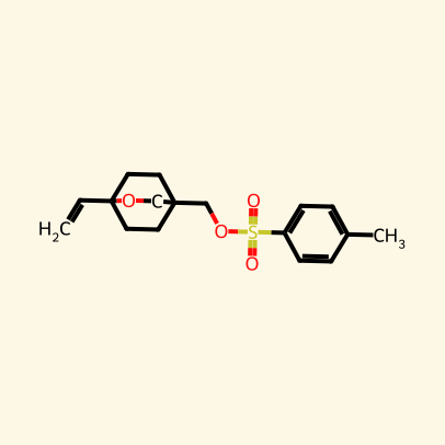 C=CC12CCC(COS(=O)(=O)c3ccc(C)cc3)(CC1)CO2